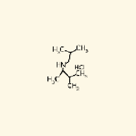 CC(C)CNC(C)C(C)C.Cl